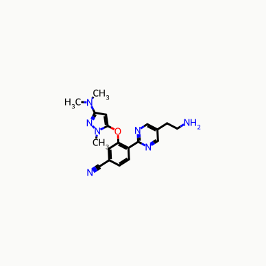 CN(C)c1cc(Oc2cc(C#N)ccc2-c2ncc(CCN)cn2)n(C)n1